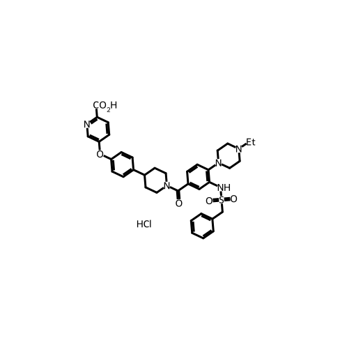 CCN1CCN(c2ccc(C(=O)N3CCC(c4ccc(Oc5ccc(C(=O)O)nc5)cc4)CC3)cc2NS(=O)(=O)Cc2ccccc2)CC1.Cl